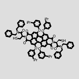 CC(C)c1cccc(Oc2cc3c4c(cc(Oc5cccc(C(C)C)c5)c5c6c(Oc7cccc(C(C)C)c7)cc7c8c(cc(Oc9cccc(C(C)C)c9)c(c2c45)c86)C(=O)N([C@@H](CS)C(=O)N(Cc2ccccc2)Cc2ccccc2)C7=O)C(=O)N(C(CS)C(=O)N(Cc2ccccc2)Cc2ccccc2)C3=O)c1